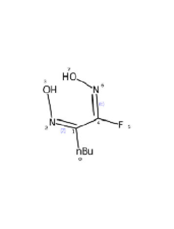 CCCCC(=N/O)/C(F)=N\O